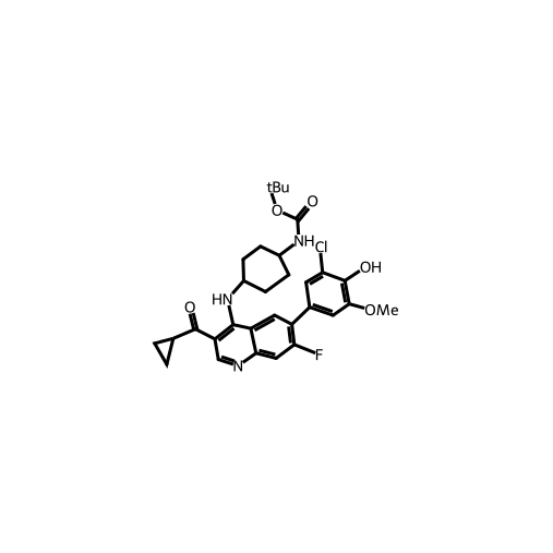 COc1cc(-c2cc3c(NC4CCC(NC(=O)OC(C)(C)C)CC4)c(C(=O)C4CC4)cnc3cc2F)cc(Cl)c1O